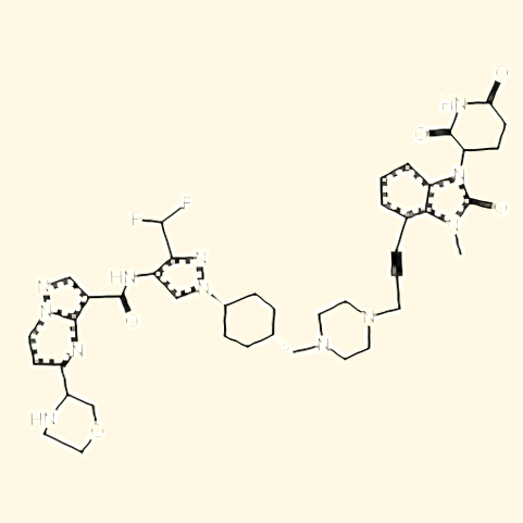 Cn1c(=O)n(C2CCC(=O)NC2=O)c2cccc(C#CCN3CCN(C[C@H]4CC[C@H](n5cc(NC(=O)c6cnn7ccc(C8COCCN8)nc67)c(C(F)F)n5)CC4)CC3)c21